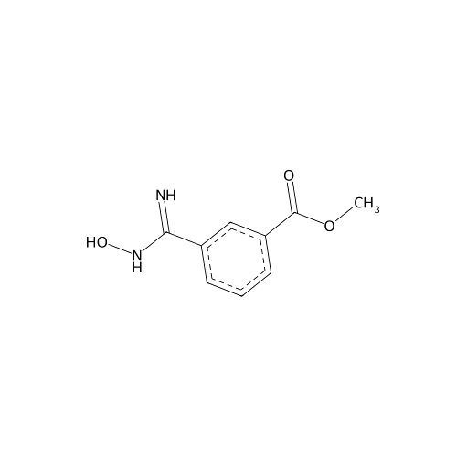 COC(=O)c1cccc(C(=N)NO)c1